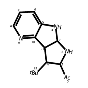 CC(=O)C1NC2Nc3cccnc3C2C1C(C)(C)C